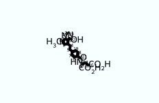 CN1CC(CCc2ccc(C(=O)N[C@@H](CCC(=O)O)C(=O)O)cc2)c2c(O)ncnc21